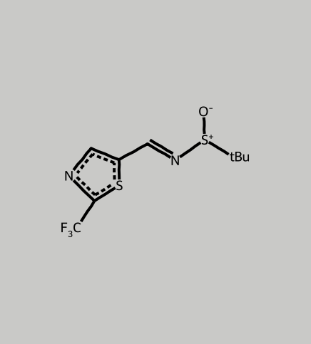 CC(C)(C)[S+]([O-])/N=C/c1cnc(C(F)(F)F)s1